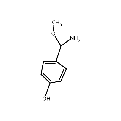 COC(N)c1ccc(O)cc1